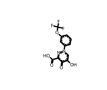 O=C(O)c1nn(-c2cccc(OC(F)(F)F)c2)cc(O)c1=O